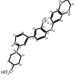 O=C(O)C1CCN(c2cc(-c3ccc(Sc4ccc5c(c4)OCCO5)c(C(F)(F)F)c3)ccn2)CC1